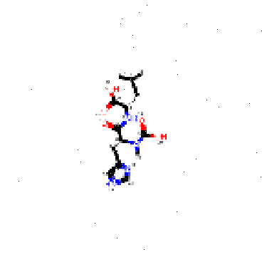 CC(C)C[C@H](NC(=O)[C@@H](Cc1c[nH]cn1)N(C)C(=O)O)C(=O)O